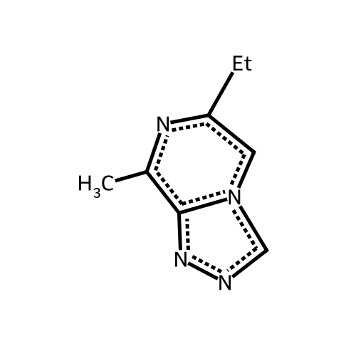 CCc1cn2cnnc2c(C)n1